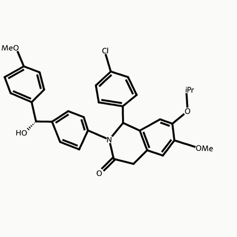 COc1ccc([C@@H](O)c2ccc(N3C(=O)Cc4cc(OC)c(OC(C)C)cc4C3c3ccc(Cl)cc3)cc2)cc1